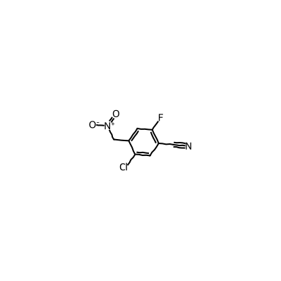 N#Cc1cc(Cl)c(C[N+](=O)[O-])cc1F